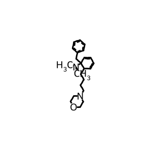 CN(C)C1(Cc2ccccc2)C=CC=CC1CCCCN1CCOCC1